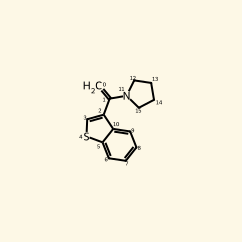 C=C(c1csc2ccccc12)N1CCCC1